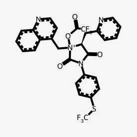 O=C1[C@H](Cc2ccccn2)[N+](Cc2ccnc3ccccc23)(OC(=O)C(F)(F)F)C(=O)N1c1ccc(SC(F)(F)F)cc1